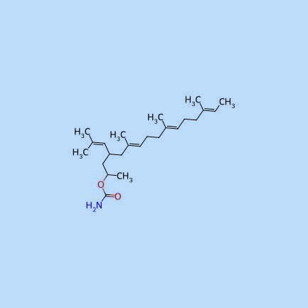 C/C=C(\C)CC/C=C(\C)CC/C=C(\C)CC(C=C(C)C)CC(C)OC(N)=O